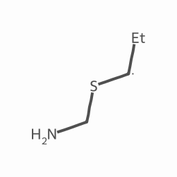 CC[CH]SCN